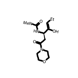 CCC=C(O)[C@@H](CC(=O)N1CCOCC1)NC(=O)NC